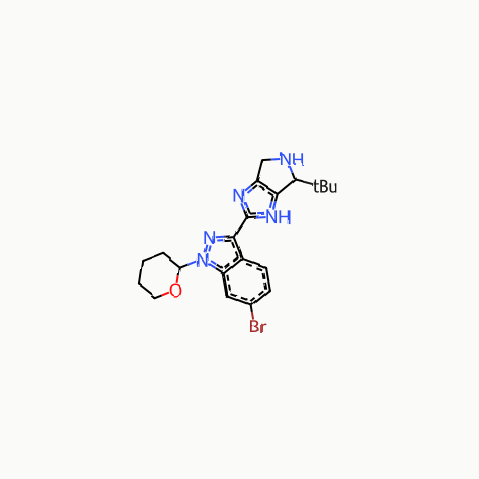 CC(C)(C)C1NCc2nc(-c3nn(C4CCCCO4)c4cc(Br)ccc34)[nH]c21